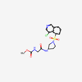 CC(C)(C)OC(=O)NCC(=O)N[C@H]1CCN(S(=O)(=O)c2cccc3cncc(Cl)c23)C1